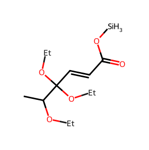 CCOC(C)C(C=CC(=O)O[SiH3])(OCC)OCC